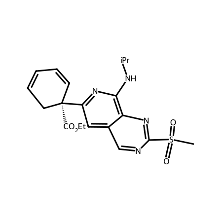 CCOC(=O)[C@@]1(c2cc3cnc(S(C)(=O)=O)nc3c(NC(C)C)n2)C=CC=CC1